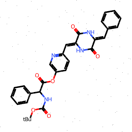 CC(C)(C)OC(=O)NC(C(=O)Oc1ccc(C=c2[nH]c(=O)c(=Cc3ccccc3)[nH]c2=O)nc1)c1ccccc1